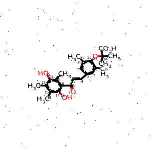 Cc1cc(/C=C/C(=O)c2c(C)c(O)c(C)c(C)c2O)cc(C)c1OC(C)(C)C(=O)O